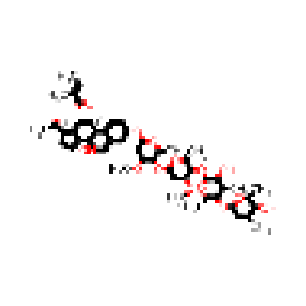 C/C=C(\C)C(=O)O[C@@H]1CC2C(CC=C3C[C@@H](OC4CC(OC)C(OC5CC(OC)C(OC6OC(C)C(OC7CC(C)C(O)C(C)O7)C(C)C6O)C(C)O5)C(C)O4)CC[C@@]32C)[C@@]2(O)CCC(C(C)=O)[C@@]12C